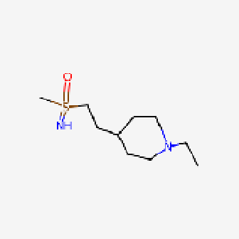 CCN1CCC(CCS(C)(=N)=O)CC1